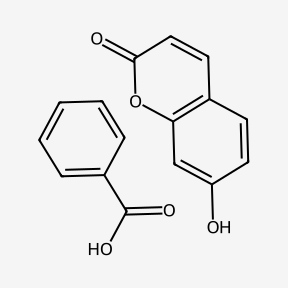 O=C(O)c1ccccc1.O=c1ccc2ccc(O)cc2o1